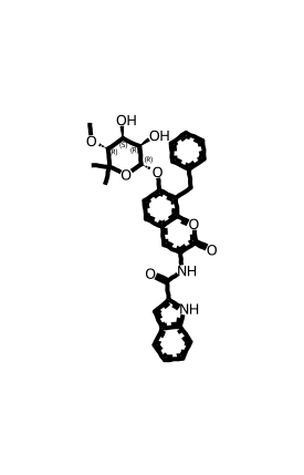 CO[C@@H]1[C@@H](O)[C@@H](O)[C@H](Oc2ccc3cc(NC(=O)c4cc5ccccc5[nH]4)c(=O)oc3c2Cc2ccccc2)OC1(C)C